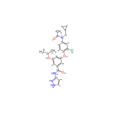 CC(=O)N(CC1CC1)c1ccc(Oc2cc(OC(C)C)cc(C(=O)Nc3cc[nH]n3)c2)c(Cl)c1